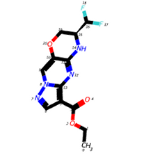 CCOC(=O)c1cnn2cc3c(nc12)N[C@H](C(F)F)CO3